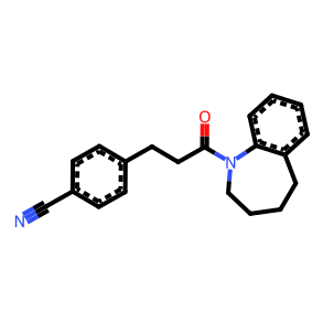 N#Cc1ccc(CCC(=O)N2CCCCc3ccccc32)cc1